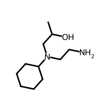 CC(O)CN(CCN)C1CCCCC1